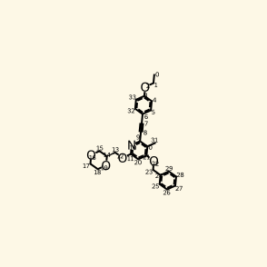 CCOc1ccc(C#Cc2nc(OC[C@@H]3COCCO3)cc(OCc3ccccc3)c2C)cc1